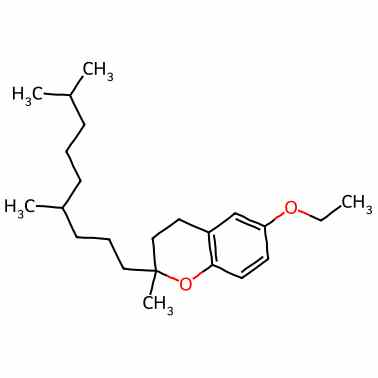 CCOc1ccc2c(c1)CCC(C)(CCCC(C)CCCC(C)C)O2